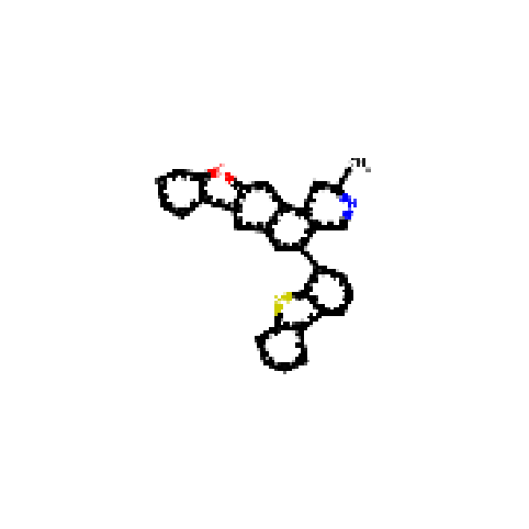 Cc1cc2c(cn1)c(-c1cccc3c1sc1ccccc13)cc1cc3c(cc12)oc1ccccc13